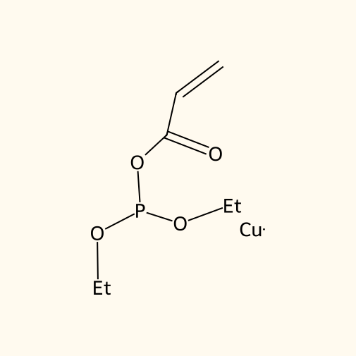 C=CC(=O)OP(OCC)OCC.[Cu]